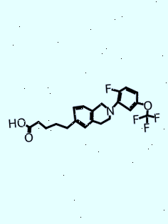 O=C(O)CCCCc1ccc2c(c1)CCN(c1cc(OC(F)(F)F)ccc1F)C2